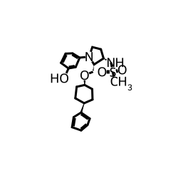 CS(=O)(=O)N[C@H]1CCN(c2cccc(O)c2)[C@H]1CO[C@H]1CC[C@@H](c2ccccc2)CC1